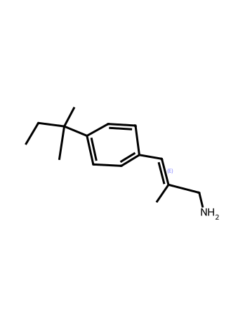 CCC(C)(C)c1ccc(/C=C(\C)CN)cc1